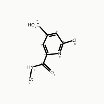 CCNC(=O)c1cc(C(=O)O)cc(Cl)n1